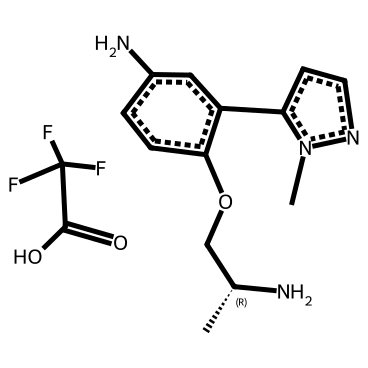 C[C@@H](N)COc1ccc(N)cc1-c1ccnn1C.O=C(O)C(F)(F)F